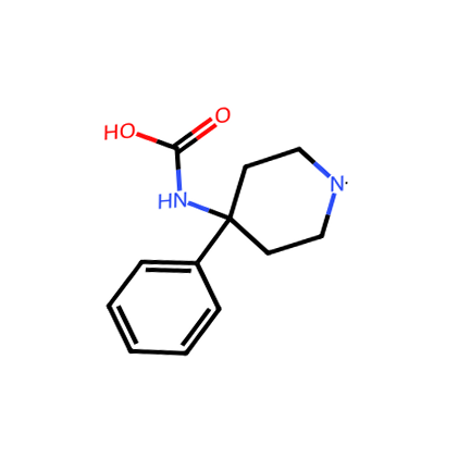 O=C(O)NC1(c2ccccc2)CC[N]CC1